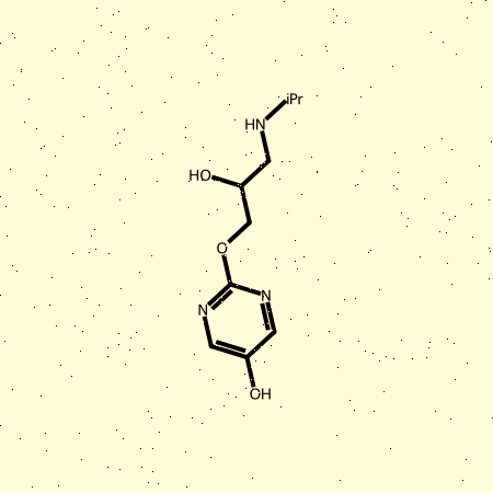 CC(C)NCC(O)COc1ncc(O)cn1